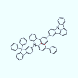 c1ccc(-c2ccc(N(c3ccc4c(c3)C(c3ccccc3)(c3ccccc3)c3ccccc3-4)c3ccccc3-c3cccc(-c4ccc5c(c4)c4cccc6c7ccccc7n5c64)c3)cc2)cc1